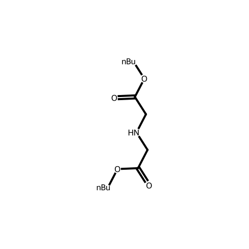 CCCCOC(=O)CNCC(=O)OCCCC